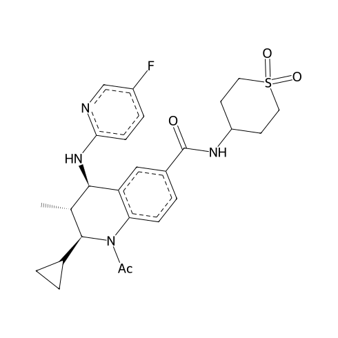 CC(=O)N1c2ccc(C(=O)NC3CCS(=O)(=O)CC3)cc2[C@H](Nc2ccc(F)cn2)[C@@H](C)[C@@H]1C1CC1